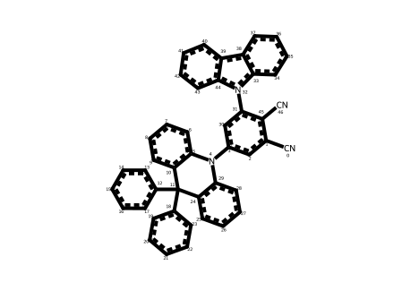 N#Cc1cc(N2c3ccccc3C(c3ccccc3)(c3ccccc3)c3ccccc32)cc(-n2c3ccccc3c3ccccc32)c1C#N